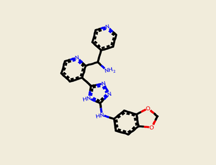 NC(c1ccncc1)c1ncccc1-c1nnc(Nc2ccc3c(c2)OCO3)[nH]1